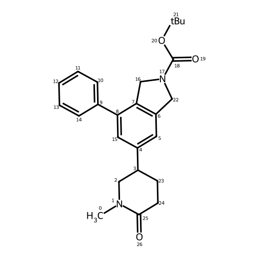 CN1CC(c2cc3c(c(-c4ccccc4)c2)CN(C(=O)OC(C)(C)C)C3)CCC1=O